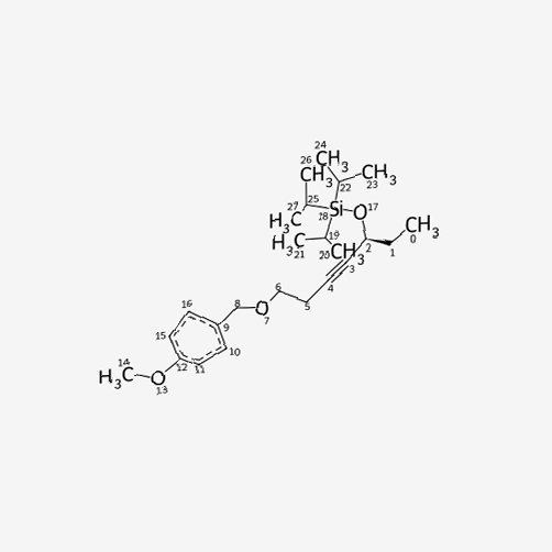 CC[C@@H](C#CCCOCc1ccc(OC)cc1)O[Si](C(C)C)(C(C)C)C(C)C